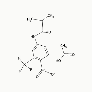 CC(=O)O.CC(C)C(=O)Nc1ccc([N+](=O)[O-])c(C(F)(F)F)c1